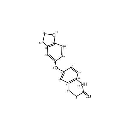 O=C1CCc2cc(Oc3ccc4c(c3)CCO4)ccc2N1